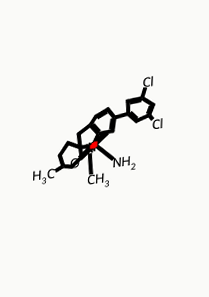 CC1CCC2(CC1)Cc1ccc(-c3cc(Cl)cc(Cl)c3)cc1C21N=C(N)N(C)C1=O